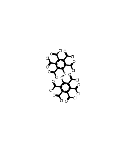 O=C(Cl)c1c(SSc2c(C(=O)Cl)c(C(=O)Cl)c(C(=O)Cl)c(C(=O)Cl)c2C(=O)Cl)c(C(=O)Cl)c(C(=O)Cl)c(C(=O)Cl)c1C(=O)Cl